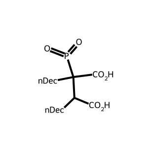 CCCCCCCCCCC(C(=O)O)C(CCCCCCCCCC)(C(=O)O)P(=O)=O